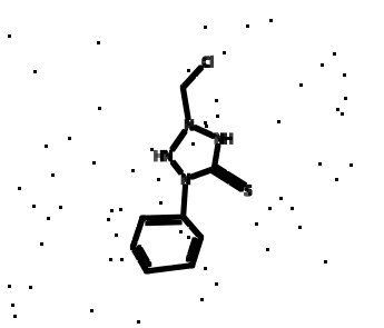 S=C1NN(CCl)NN1c1ccccc1